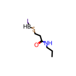 CCCNC(=O)CCSBI